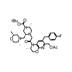 CC(=O)OCc1nc2c(cc1Cc1ccc(F)cc1)N(C(=O)CN1C[C@@H](C)N(C(=O)OC(C)(C)C)C[C@@H]1CN1C[C@H](C)OC[C@H]1C)[C@@H](C)CO2